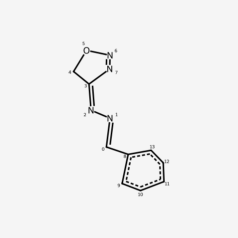 C(=NN=C1CON=N1)c1ccccc1